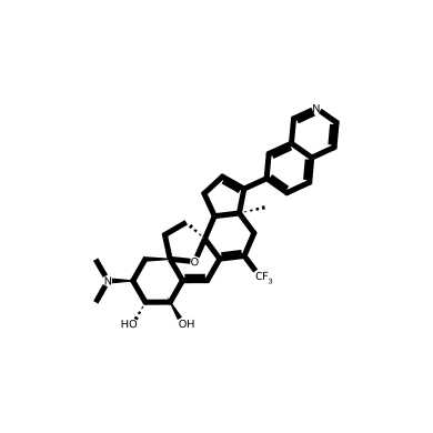 CN(C)[C@H]1C[C@@]23CC[C@@]4(O2)C(=C(C(F)(F)F)C[C@]2(C)C(c5ccc6ccncc6c5)=CCC24)C=C3[C@@H](O)[C@@H]1O